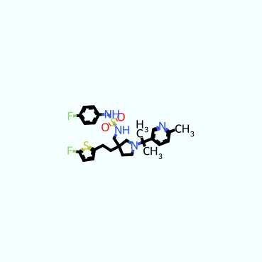 Cc1ccc(C(C)(C)N2CCC(CCc3ccc(F)s3)(CNS(=O)(=O)Nc3ccc(F)cc3)C2)cn1